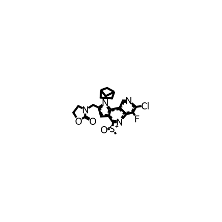 C[S+]([O-])c1nc2c(F)c(Cl)ncc2c2c1cc(CN1CCOC1=O)n2C1C2CCC1C2